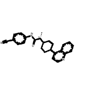 C[C@@H](C(=O)Nc1ccc(C#N)cc1)C1CCC(c2ccnc3ccccc23)CC1